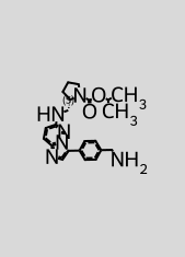 CC(C)OC(=O)N1CCC[C@H]1CNc1ccc2ncc(-c3ccc(CN)cc3)n2n1